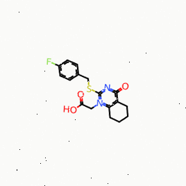 O=C(O)Cn1c(SCc2ccc(F)cc2)nc(=O)c2c1CCCC2